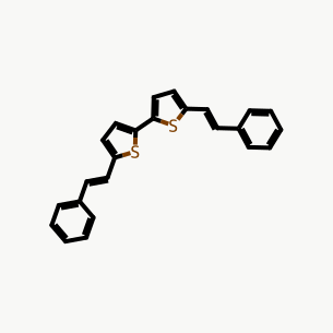 C(=C\c1ccc(-c2ccc(/C=C/c3ccccc3)s2)s1)/c1ccccc1